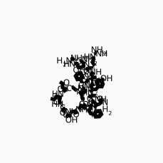 CC[C@H](C)[C@@H]1NC(=O)[C@@](C)(CC(C)=O)CCCn2nncc2CCC[C@@](C)(C(=O)C[C@@H](Cc2ccccc2)C(=O)NC(CC(N)=O)C(=O)N[C@@H](C)C(=O)NC(Cc2ccc(O)cc2)C(=O)N[C@@H](Cc2ccc(O)cc2)C(=O)NC(C)C(=O)N[C@@H](CCCNC(=N)N)C(=O)NC(CCCNC(=N)N)C(N)=O)NC(=O)[C@H](CC(=O)O)NC(=O)CNC1=O